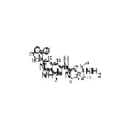 CCC(N)(CC)c1ccnc(Nc2cc3cc(N4CCOC4=O)nc(N)c3cn2)c1